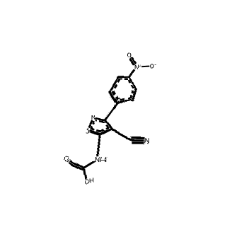 N#Cc1c(-c2ccc([N+](=O)[O-])cc2)nsc1NC(=O)O